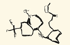 COC(=O)Cc1ccccc1Nc1cc[n+]([O-])c2cc(C(F)(F)F)ccc12